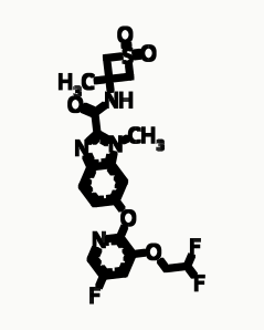 Cn1c(C(=O)NC2(C)CS(=O)(=O)C2)nc2ccc(Oc3ncc(F)cc3OCC(F)F)cc21